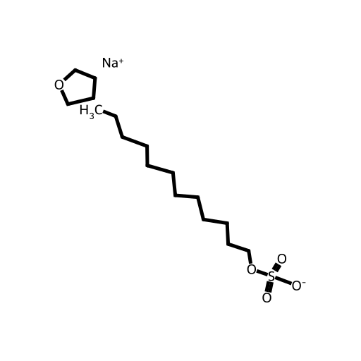 C1CCOC1.CCCCCCCCCCCCOS(=O)(=O)[O-].[Na+]